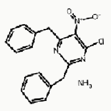 N.O=[N+]([O-])c1c(Cl)nc(Cc2ccccc2)nc1Cc1ccccc1